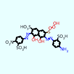 Nc1ccc(/N=N/c2c(SOOO)cc3cc(S(=O)(=O)O)c(/N=N/c4ccc([N+](=O)[O-])c(S(=O)(=O)O)c4)c(O)c3c2O)c(S(=O)(=O)O)c1